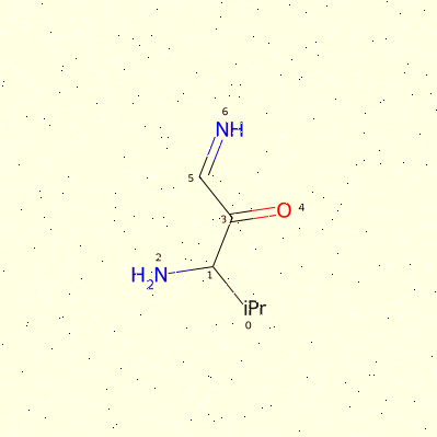 CC(C)C(N)C(=O)C=N